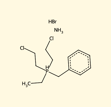 Br.CC[PH](CCCl)(CCCl)Cc1ccccc1.N